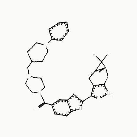 CC12Cc3[nH]nc(-c4cc5cc(C(=O)N6CCN(CC7CCN(c8ccccc8)CC7)CC6)ccc5[nH]4)c3CC1C2(F)F